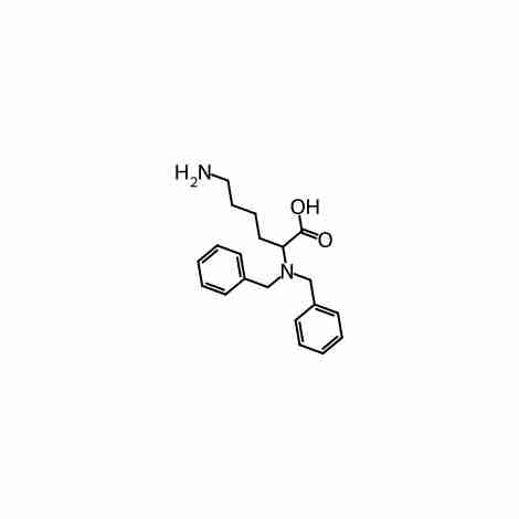 NCCCCC(C(=O)O)N(Cc1ccccc1)Cc1ccccc1